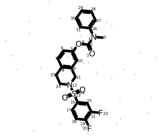 CN(C(=O)Oc1ccc2c(c1)CN(S(=O)(=O)c1ccc(F)c(F)c1)CC2)c1ccccc1